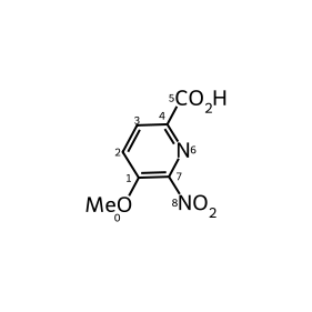 COc1ccc(C(=O)O)nc1[N+](=O)[O-]